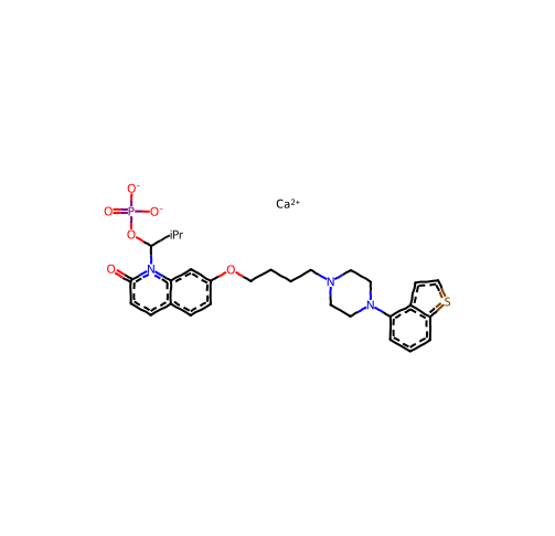 CC(C)C(OP(=O)([O-])[O-])n1c(=O)ccc2ccc(OCCCCN3CCN(c4cccc5sccc45)CC3)cc21.[Ca+2]